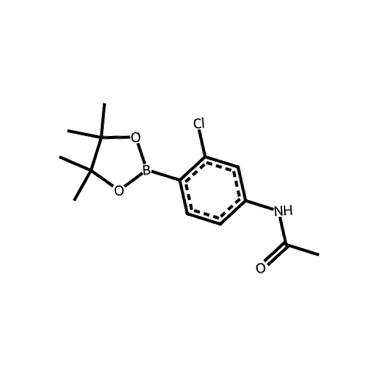 CC(=O)Nc1ccc(B2OC(C)(C)C(C)(C)O2)c(Cl)c1